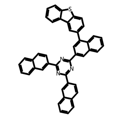 c1ccc2cc(-c3nc(-c4ccc5ccccc5c4)nc(-c4cc(-c5ccc6sc7ccccc7c6c5)c5ccccc5c4)n3)ccc2c1